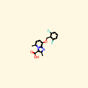 Cc1nc2c(OCc3c(F)cccc3F)ccc(C)n2c1C(=O)O